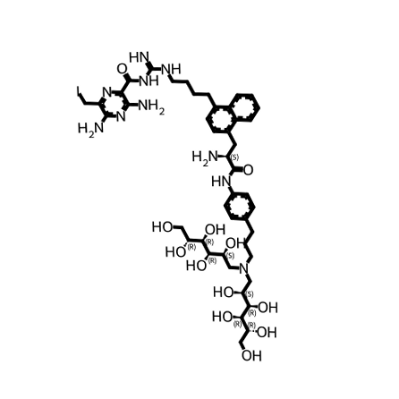 N=C(NCCCCc1ccc(C[C@H](N)C(=O)Nc2ccc(CCCN(C[C@H](O)[C@@H](O)[C@H](O)[C@H](O)CO)C[C@H](O)[C@@H](O)[C@H](O)[C@H](O)CO)cc2)c2ccccc12)NC(=O)c1nc(CI)c(N)nc1N